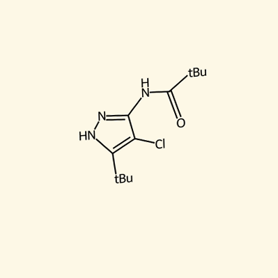 CC(C)(C)C(=O)Nc1n[nH]c(C(C)(C)C)c1Cl